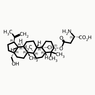 C=C(C)[C@@H]1CC[C@]2(CO)CC[C@]3(C)[C@H](CC[C@@H]4[C@@]5(C)CC[C@H](OC(=O)C[C@H](N)C(=O)O)C(C)(C)[C@@H]5CC[C@]43C)[C@@H]12